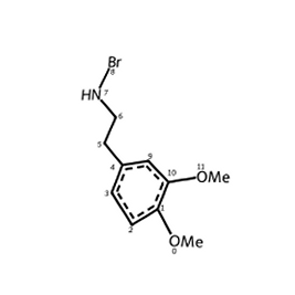 COc1ccc(CCNBr)cc1OC